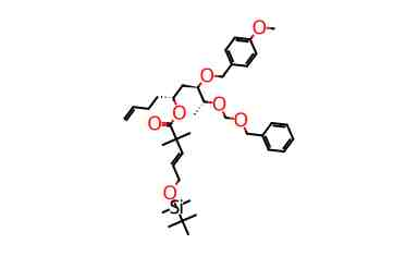 C=CCC[C@H](C[C@@H](OCc1ccc(OC)cc1)[C@@H](C)OCOCc1ccccc1)OC(=O)C(C)(C)/C=C/CO[Si](C)(C)C(C)(C)C